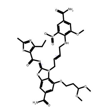 CCc1nc(C)sc1C(=O)/N=c1\sc2cc(C(N)=O)cc(OCCC(OC)OC)c2n1C/C=C/CNc1c(OC)cc(C(N)=O)cc1[N+](=O)[O-]